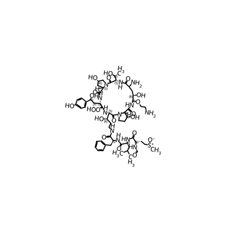 CC(C)C[C@H](NC(=O)[C@H](CC[S+](C)[O-])NC=O)C(=O)N[C@@H](Cc1ccccc1)C(=O)NCC[C@@H](O)[C@@H]1NC(=O)[C@H]([C@H](O)[C@@H](O)c2ccc(O)cc2)NC(=O)[C@@H]2C[C@@H](O)CN2C(=O)[C@H]([C@@H](C)O)NC(=O)C(N)C[C@@H](O)[C@@H](OCCN)NC(=O)[C@@H]2[C@@H](O)CCN2C1=O